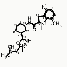 Cc1ccc(F)c2c1NC(C(=O)N[C@@H]1CCC[C@H]([C@H]3NNC(CN(C)C)O3)C1)C2